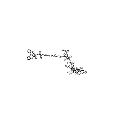 CCC(=O)O[C@]1(C(=O)COCNC(=O)CNC(=O)[C@H](CCC(=O)O)NC(=O)CCOCCOCCOCCOCCNC(=O)CCN2C(=O)C(Sc3ccccc3)=C(Sc3ccccc3)C2=O)[C@@H](C)CC2[C@@H]3CCC4=CC(=O)C=C[C@]4(C)[C@@]3(Cl)[C@@H](O)C[C@@]21C